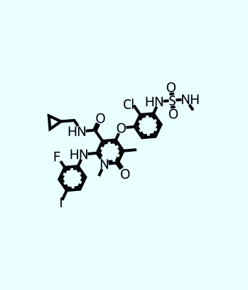 CNS(=O)(=O)Nc1cccc(Oc2c(C(=O)NCC3CC3)c(Nc3ccc(I)cc3F)n(C)c(=O)c2C)c1Cl